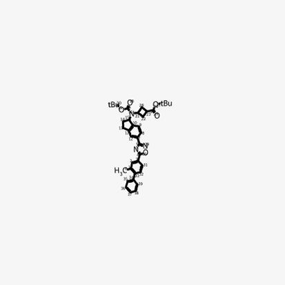 Cc1cc(-c2nc(-c3ccc4c(c3)CCC4N(C(=O)OC(C)(C)C)C3CC(C(=O)OC(C)(C)C)C3)no2)ccc1-c1ccccc1